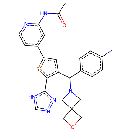 CC(=O)Nc1cc(-c2cc(C(c3ccc(I)cc3)N3CC4(COC4)C3)c(-c3nnc[nH]3)s2)ccn1